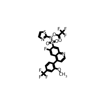 COc1cc(C(F)(F)F)ccc1-c1ccnc2cc(S(=O)(=O)N(OC(=O)C(F)(F)F)c3nccs3)c(F)cc12